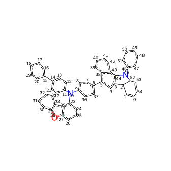 C1=CC2c3cc(-c4ccc(N(c5ccc(-c6ccccc6)cc5)c5cccc6oc7ccccc7c56)cc4)c4ccccc4c3N(c3ccccc3)C2C=C1